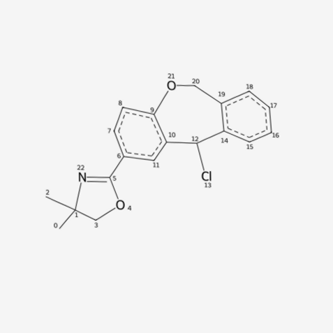 CC1(C)COC(c2ccc3c(c2)C(Cl)c2ccccc2CO3)=N1